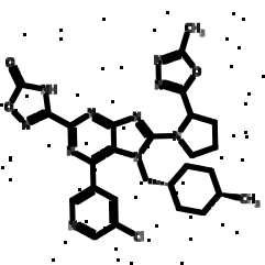 Cc1nnc(C2CCCN2c2nc3nc(-c4noc(=O)[nH]4)nc(-c4cncc(Cl)c4)c3n2C[C@H]2CC[C@H](C)CC2)o1